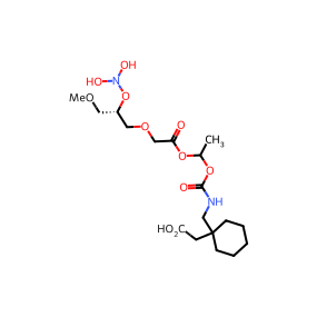 COC[C@@H](COCC(=O)OC(C)OC(=O)NCC1(CC(=O)O)CCCCC1)ON(O)O